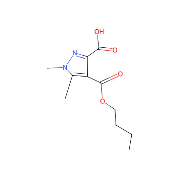 CCCCOC(=O)c1c(C(=O)O)nn(C)c1C